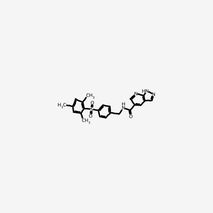 Cc1cc(C)c(S(=O)(=O)c2ccc(CNC(=O)c3cnc4[nH]ncc4c3)cc2)c(C)c1